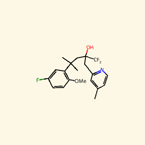 COc1ccc(F)cc1C(C)(C)CC(O)(Cc1cc(C)ccn1)C(F)(F)F